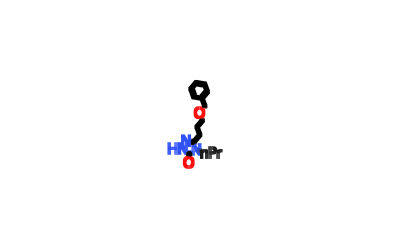 CCCn1c(CCCOCc2ccccc2)n[nH]c1=O